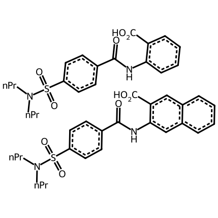 CCCN(CCC)S(=O)(=O)c1ccc(C(=O)Nc2cc3ccccc3cc2C(=O)O)cc1.CCCN(CCC)S(=O)(=O)c1ccc(C(=O)Nc2ccccc2C(=O)O)cc1